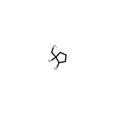 CCC1CCCC1(CC)CC(F)(F)F